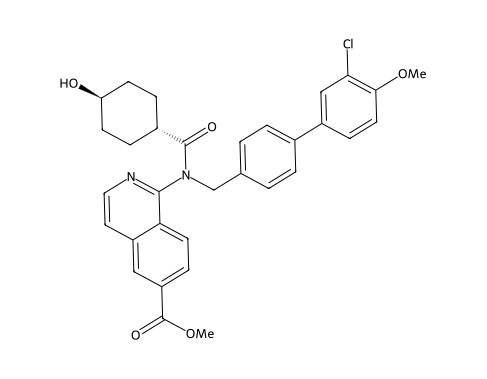 COC(=O)c1ccc2c(N(Cc3ccc(-c4ccc(OC)c(Cl)c4)cc3)C(=O)[C@H]3CC[C@H](O)CC3)nccc2c1